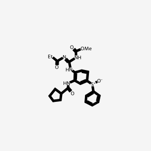 CCC(=O)N=C(NC(=O)OC)Nc1ccc([S+]([O-])c2ccccc2)cc1NC(=O)C1CCCC1